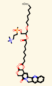 CCCCCCCCCCCCCCCCCOCC(COP(C)(=O)CCC[N+](C)(C)C)OC(=O)CCCCCCCC(=O)O[C@@H]1C(=O)OCc2c1cc1n(c2=O)Cc2cc3ccccc3nc2-1